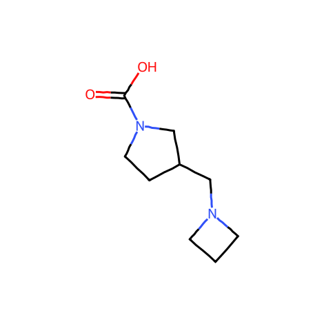 O=C(O)N1CCC(CN2CCC2)C1